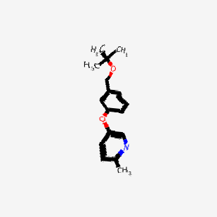 Cc1ccc(Oc2cccc(COC(C)(C)C)c2)cn1